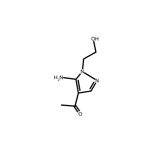 CC(=O)c1cnn(CCO)c1N